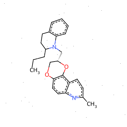 CCCC1CCc2ccccc2N1C[C@H]1COc2ccc3nc(C)ccc3c2O1